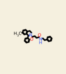 Cc1ccc2c(c1)C(c1ccccc1)N(C(=O)CCC(=O)NCCc1ccccc1)CC2